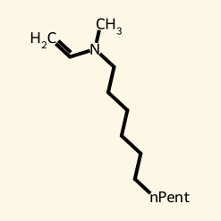 C=CN(C)CCCCCCCCCCC